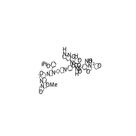 COc1cc2c(nc1N1CCOC[C@@H]1C)C(C)(C)OC[C@@H]2N1CCN(C2CC3(CCN(c4ccc(C(=O)NS(=O)(=O)c5cc6c(c([N+](=O)[O-])c5)N[C@H](C5CCOCC5)CO6)c(N5c6cc7cc[nH]c7nc6O[C@H]6COCC[C@@H]65)c4)CC3)C2)[C@H](c2ccccc2OC(C)C)C1